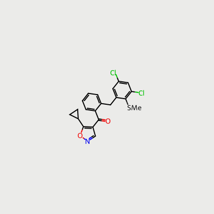 CSc1c(Cl)cc(Cl)cc1Cc1ccccc1C(=O)c1cnoc1C1CC1